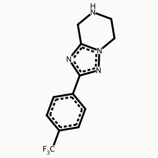 FC(F)(F)c1ccc(-c2nc3n(n2)CCNC3)cc1